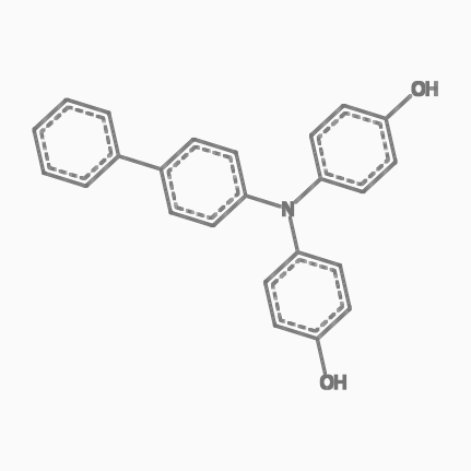 Oc1ccc(N(c2ccc(O)cc2)c2ccc(-c3ccccc3)cc2)cc1